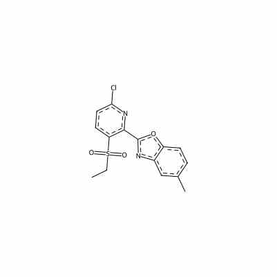 CCS(=O)(=O)c1ccc(Cl)nc1-c1nc2cc(C)ccc2o1